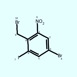 O=[N+]([O-])c1cc(Br)cc(I)c1CBr